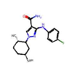 CN[C@H]1CC[C@H](C#N)C(n2cc(C(N)=O)c(Nc3ccc(F)cc3)n2)C1